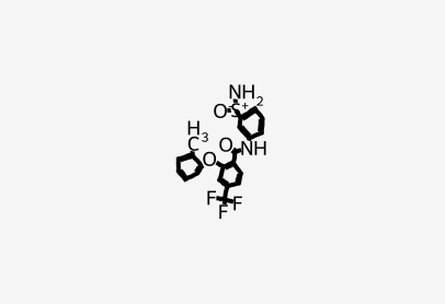 Cc1ccccc1Oc1cc(C(F)(F)F)ccc1C(=O)Nc1cccc([S+](N)[O-])c1